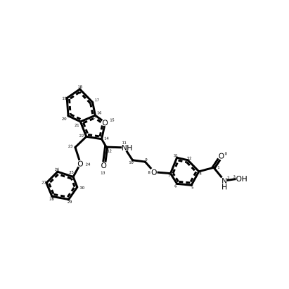 O=C(NO)c1ccc(OCCNC(=O)c2oc3ccccc3c2COc2ccccc2)cc1